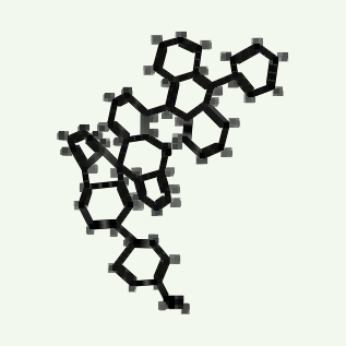 Nc1ccc(-c2ccc3c(c2)C2(c4ccccc4Sc4c(-c5c6ccccc6c(-c6ccccc6)c6ccccc56)cccc42)c2ccccc2-3)cc1